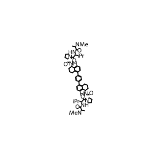 CNC(C)C(=O)NC(C(=O)N1CCC[C@H]1C(=O)N[C@@H]1CCCc2c(-c3ccc(-c4cccc5c4CCC[C@H]5NC(=O)[C@@H]4CCCN4C(=O)C(NC(=O)C(C)NC)C(C)C)cc3)cccc21)C(C)C